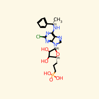 C[C@H](Nc1nc(Cl)nc2c1ncn2[C@@H]1O[C@H](CCCP(=O)(O)O)C(O)C1O)c1ccccc1